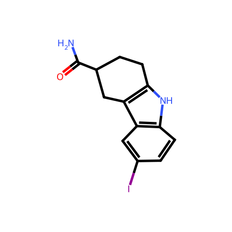 NC(=O)C1CCc2[nH]c3ccc(I)cc3c2C1